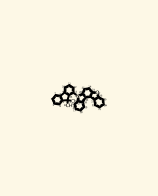 CC1(C)c2ccccc2-c2cccc(-n3c4ccccc4c4c5c(ccc43)oc3ccccc35)c21